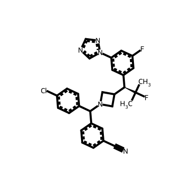 CC(C)(F)[C@H](c1cc(F)cc(-n2cncn2)c1)C1CN(C(c2ccc(Cl)cc2)c2cccc(C#N)c2)C1